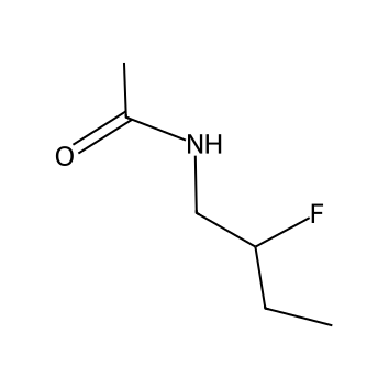 CCC(F)CNC(C)=O